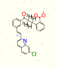 [2H]C([2H])(C(=O)c1cccc(/C=C/c2ccc3ccc(Cl)cc3n2)c1)C([2H])([2H])c1ccccc1C(=O)OC